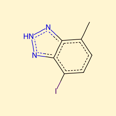 Cc1ccc(I)c2n[nH]nc12